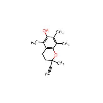 C#CC1(C)CCc2c(C)c(O)c(C)c(C)c2O1